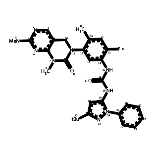 CNc1ncc2c(n1)N(C)C(=O)N(c1cc(NC(=O)Nc3cc(C(C)(C)C)nn3-c3ccccc3)c(F)cc1C)C2